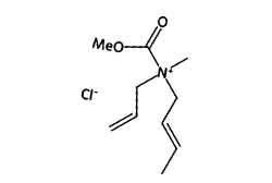 C=CC[N+](C)(CC=CC)C(=O)OC.[Cl-]